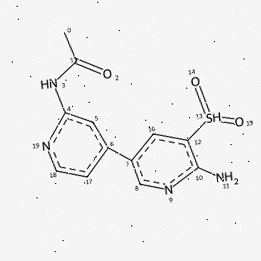 CC(=O)Nc1cc(-c2cnc(N)c([SH](=O)=O)c2)ccn1